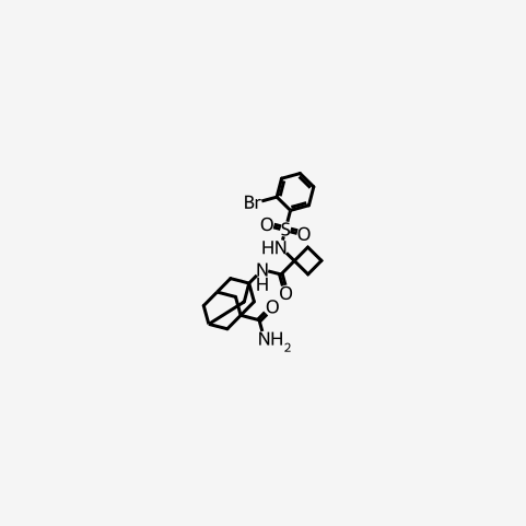 NC(=O)C12CC3CC(CC(NC(=O)C4(NS(=O)(=O)c5ccccc5Br)CCC4)(C3)C1)C2